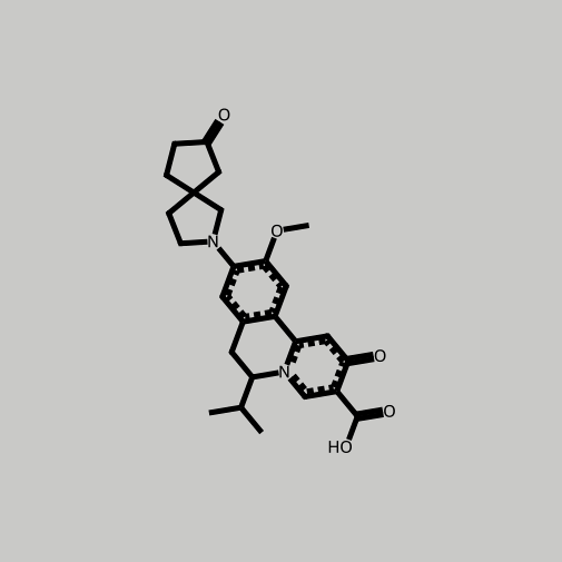 COc1cc2c(cc1N1CCC3(CCC(=O)C3)C1)CC(C(C)C)n1cc(C(=O)O)c(=O)cc1-2